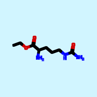 CCOC(=O)C(N)CCCNC(N)=O